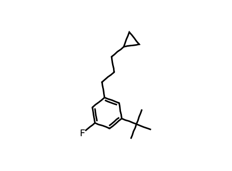 CC(C)(C)c1cc(F)cc(CCCC2CC2)c1